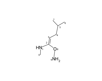 CN/C(=C/CC(C)C)ON